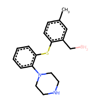 BCc1cc(C)ccc1Sc1ccccc1N1CCNCC1